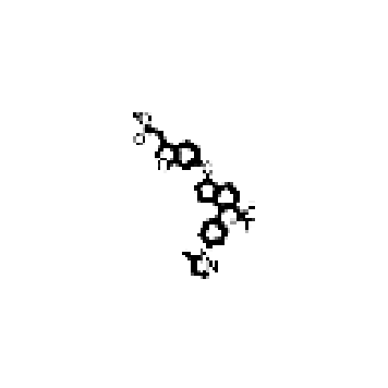 COC(=O)CC1COc2cc(O[C@@H]3CCc4c3ccc(C(F)(F)F)c4-c3ccc(-n4nccc4C)cc3)ccc21